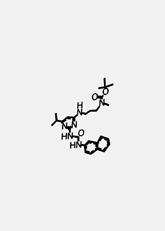 CC(C)c1cc(NCCCN(C)C(=O)OC(C)(C)C)nc(NC(=O)Nc2ccc3ccccc3c2)n1